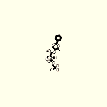 CO[C@@H](OC1COC(c2ccccc2)O[C@H]1C)[C@H](CO)NC(=O)OCC(Cl)(Cl)Cl